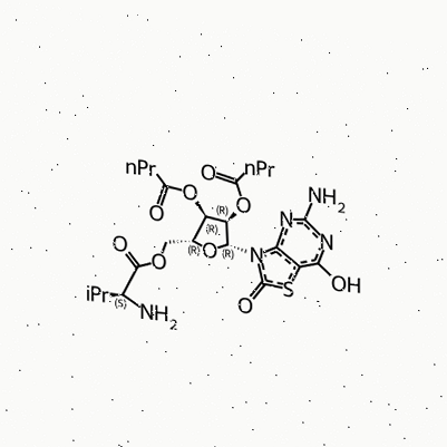 CCCC(=O)O[C@@H]1[C@H](OC(=O)CCC)[C@@H](COC(=O)[C@@H](N)C(C)C)O[C@H]1n1c(=O)sc2c(O)nc(N)nc21